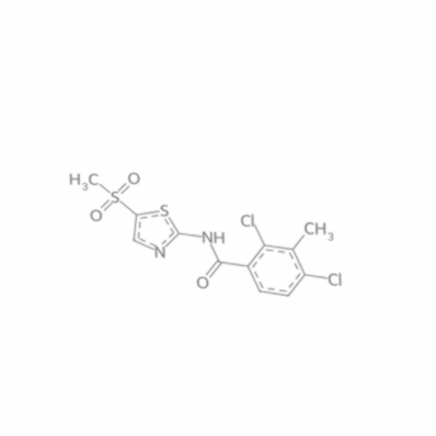 Cc1c(Cl)ccc(C(=O)Nc2ncc(S(C)(=O)=O)s2)c1Cl